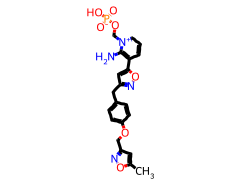 Cc1cc(COc2ccc(Cc3cc(-c4ccc[n+](COP(=O)([O-])O)c4N)on3)cc2)no1